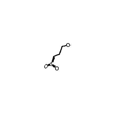 [O]CCC=S(=O)=O